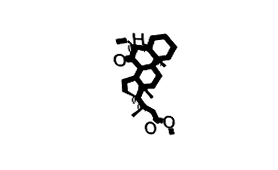 CC[C@H]1C(=O)C2C3CC[C@H]([C@H](C)CC(=O)OC)[C@@]3(C)CCC2[C@@]2(C)CCCC[C@@H]12